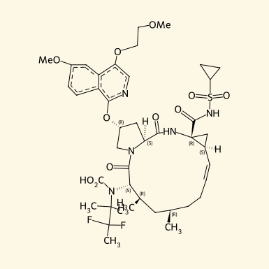 COCCOc1cnc(O[C@@H]2C[C@H]3C(=O)N[C@]4(C(=O)NS(=O)(=O)C5CC5)C[C@H]4C=CCC[C@@H](C)C[C@@H](C)[C@H](N(C(=O)O)C(C)(C)C(C)(F)F)C(=O)N3C2)c2ccc(OC)cc12